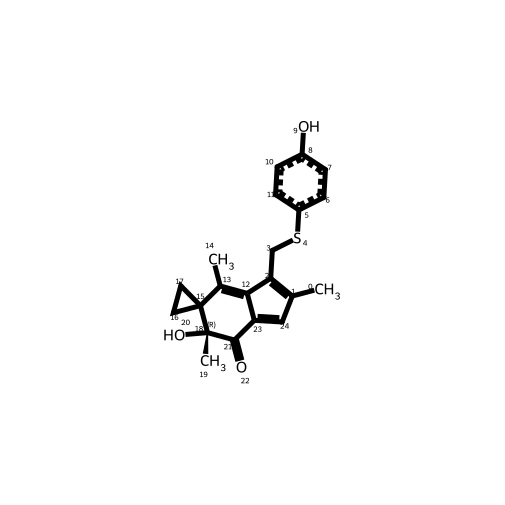 CC1=C(CSc2ccc(O)cc2)C2=C(C)C3(CC3)[C@@](C)(O)C(=O)C2=C1